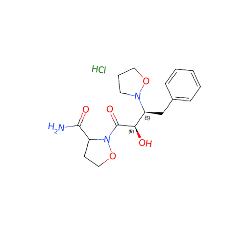 Cl.NC(=O)C1CCON1C(=O)[C@H](O)[C@H](Cc1ccccc1)N1CCCO1